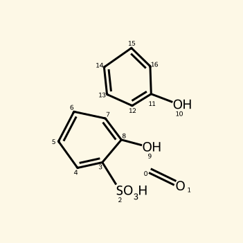 C=O.O=S(=O)(O)c1ccccc1O.Oc1ccccc1